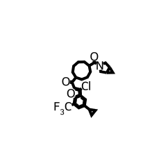 O=C(c1oc2c(C(F)(F)F)cc(C3CC3)cc2c1Cl)C1CCCCC(C(=O)N2CC3CC3C2)CCC1